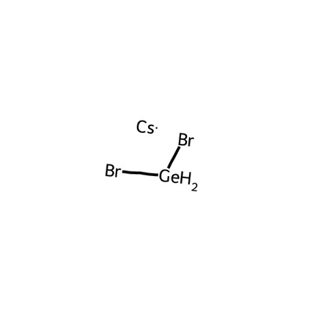 [Br][GeH2][Br].[Cs]